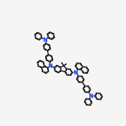 CC1(C)c2cc(N(c3ccc(-c4ccc(N(c5ccccc5)c5ccccc5)cc4)cc3)c3cccc4ccccc34)ccc2-c2ccc(N(c3ccc(-c4ccc(N(c5ccccc5)c5ccccc5)cc4)cc3)c3cccc4ccccc34)cc21